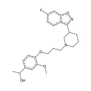 COc1cc(C(C)O)ccc1OCCCN1CCCC(c2noc3cc(F)ccc23)C1